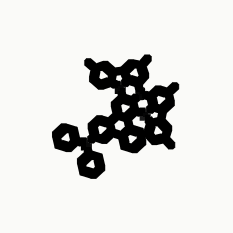 Cc1ccc2c(c1)c1cc(C)cc3c1n2-c1cc2c4ccc(N(c5ccccc5)c5ccccc5)cc4c4ccccc4c2c2c1B3c1cc(C)cc3c4cc(C)ccc4n-2c13